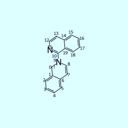 [C]1c2ccccc2C=CN1c1nccc2ccccc12